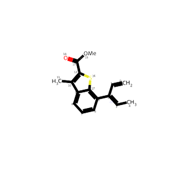 C=C/C(=C\C)c1cccc2c(C)c(C(=O)OC)sc12